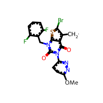 [CH2]c1c(Br)sc2c1c(=O)n(-c1ccc(OC)nn1)c(=O)n2Cc1c(F)cccc1F